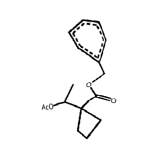 CC(=O)OC(C)C1(C(=O)OCc2ccccc2)CCC1